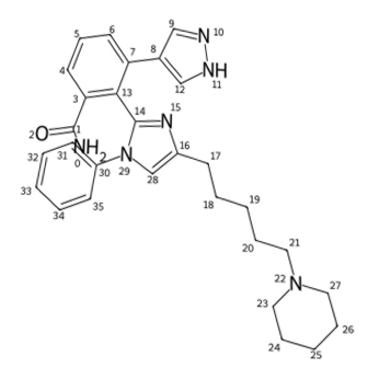 NC(=O)c1cccc(-c2cn[nH]c2)c1-c1nc(CCCCCN2CCCCC2)cn1-c1ccccc1